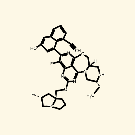 C#Cc1cccc2cc(O)cc(-c3nc4c5c(nc(OC[C@@]67CCCN6C[C@H](F)C7)nc5c3F)N3C[C@@H](CC)NC[C@H]3CO4)c12